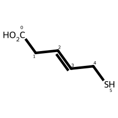 O=C(O)C/C=C/CS